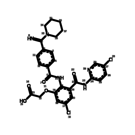 N=C(c1ccc(C(=O)Nc2c(OCC(=O)O)cc(Cl)cc2C(=O)Nc2ccc(Cl)cn2)cc1)N1CCCCC1